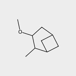 COC1CC2CC(C2)C1C